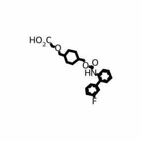 O=C(O)COCC1CCC(COC(=O)Nc2ccccc2-c2cccc(F)c2)CC1